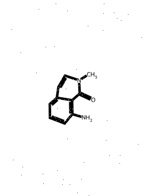 Cn1ccc2cccc(N)c2c1=O